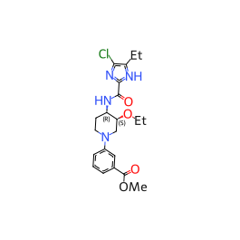 CCO[C@H]1CN(c2cccc(C(=O)OC)c2)CC[C@H]1NC(=O)c1nc(Cl)c(CC)[nH]1